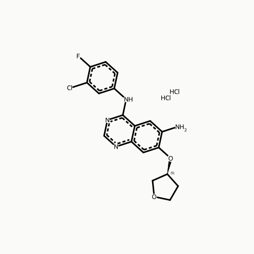 Cl.Cl.Nc1cc2c(Nc3ccc(F)c(Cl)c3)ncnc2cc1O[C@H]1CCOC1